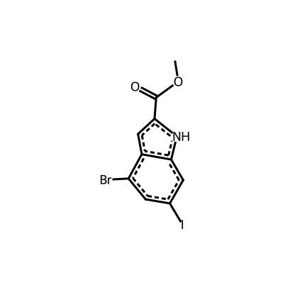 COC(=O)c1cc2c(Br)cc(I)cc2[nH]1